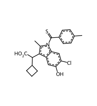 Cc1ccc(C(=S)n2c(C)c(C(C(=O)O)C3CCC3)c3cc(O)c(Cl)cc32)cc1